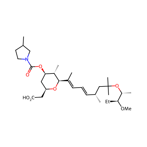 CC[C@H](OC)[C@@H](C)OC(C)(C)C[C@H](C)/C=C/C=C(\C)[C@H]1O[C@@H](CC(=O)O)C[C@@H](OC(=O)N2CCC(C)C2)[C@@H]1C